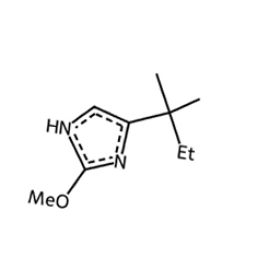 CCC(C)(C)c1c[nH]c(OC)n1